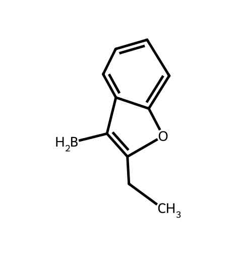 Bc1c(CC)oc2ccccc12